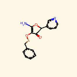 NC1=C(OSCc2ccccc2)C(=O)C(c2cccnc2)O1